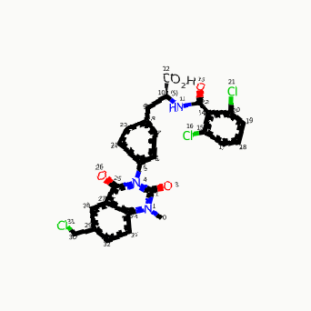 Cn1c(=O)n(-c2ccc(C[C@H](NC(=O)c3c(Cl)cccc3Cl)C(=O)O)cc2)c(=O)c2cc(CCl)ccc21